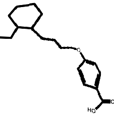 CCC1CCCCC1CCCOc1ccc(C(=O)O)cc1